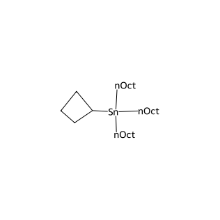 CCCCCCC[CH2][Sn]([CH2]CCCCCCC)([CH2]CCCCCCC)[CH]1CCC1